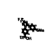 CCC(O)c1ccc(-n2nc(C(F)(F)F)cc2-c2ccc(SC)cc2)cc1